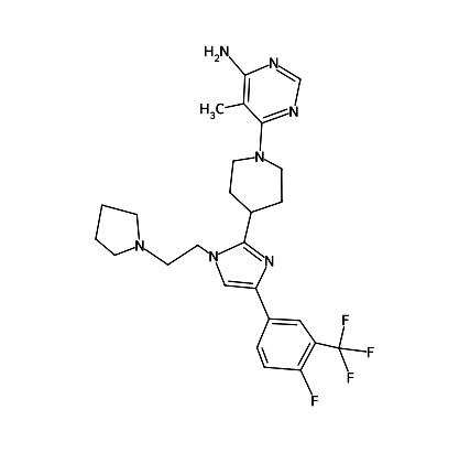 Cc1c(N)ncnc1N1CCC(c2nc(-c3ccc(F)c(C(F)(F)F)c3)cn2CCN2CCCC2)CC1